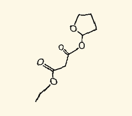 CCOC(=O)CC(=O)OC1CCCO1